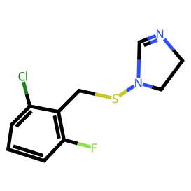 Fc1cccc(Cl)c1CSN1C=NCC1